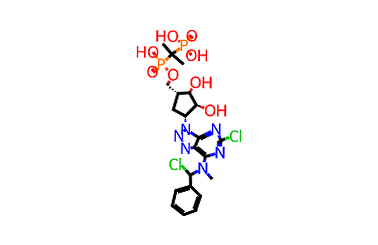 CN(c1nc(Cl)nc2c1nnn2[C@@H]1C[C@H](COP(=O)(O)C(C)(C)P(=O)(O)O)[C@@H](O)[C@H]1O)C(Cl)c1ccccc1